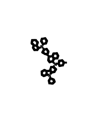 Cc1ccc(N(c2ccc3c(c2)c2ccccc2n3-c2ccccc2)c2ccc(-c3ccc(N(c4ccccc4)c4cccc5ccccc45)cc3)c3ccccc23)cc1